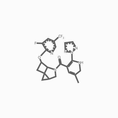 CC1=CC(C(=O)N2CC3CC34CC(Oc3ncc(C(F)(F)F)cc3F)C24)=C(n2nccn2)NC1